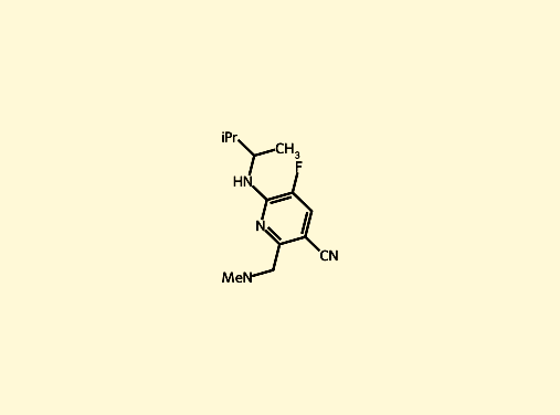 CNCc1nc(NC(C)C(C)C)c(F)cc1C#N